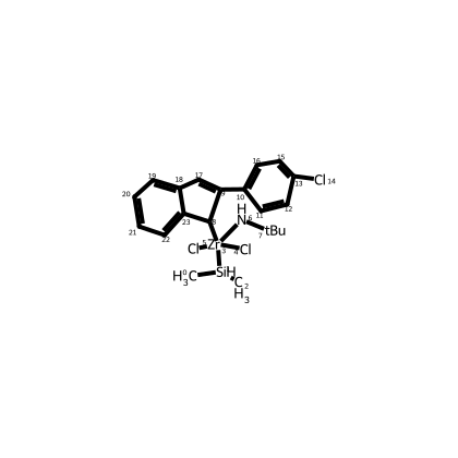 C[SiH](C)[Zr]([Cl])([Cl])([NH]C(C)(C)C)[CH]1C(c2ccc(Cl)cc2)=Cc2ccccc21